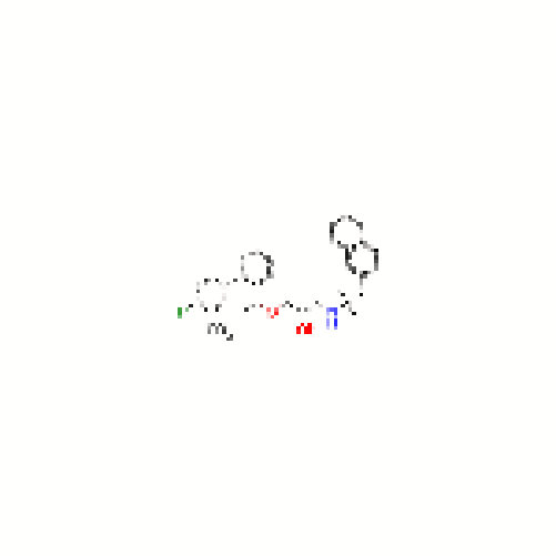 CC(OC[C@@H](O)CNC(C)(C)Cc1ccc2ccccc2c1)c1ccccc1-c1ccc(F)c(C(=O)O)c1